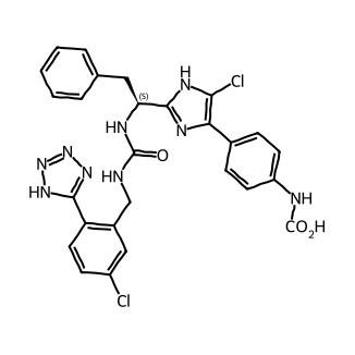 O=C(O)Nc1ccc(-c2nc([C@H](Cc3ccccc3)NC(=O)NCc3cc(Cl)ccc3-c3nnn[nH]3)[nH]c2Cl)cc1